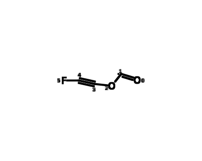 O=[C]OC#CF